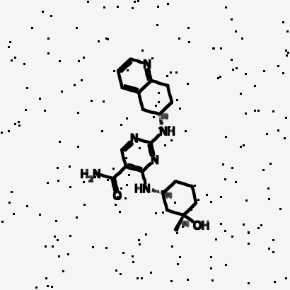 C[C@]1(O)CCC[C@@H](Nc2nc(N[C@H]3CCc4ncccc4C3)ncc2C(N)=O)C1